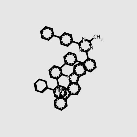 Cc1nc(-c2ccc(-c3ccccc3)cc2)nc(-c2ccccc2-c2cccc(-c3cccc(-c4ccccc4C4=CC=CCC4)c3-n3c4ccccc4c4ccc5c6ccccc6[nH]c5c43)c2)n1